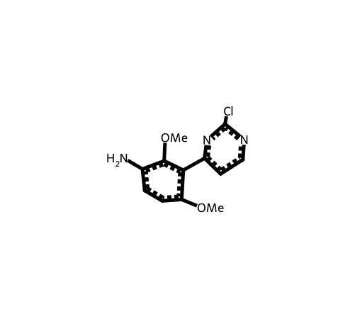 COc1ccc(N)c(OC)c1-c1ccnc(Cl)n1